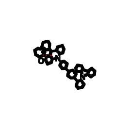 c1ccc(N(c2ccc(-c3ccc(-c4ccccc4-n4c5ccccc5c5ccccc54)cc3)cc2)c2ccc3oc4ccccc4c3c2)c(-c2cccc3ccccc23)c1